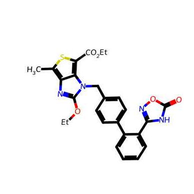 CCOC(=O)c1sc(C)c2nc(OCC)n(Cc3ccc(-c4ccccc4-c4noc(=O)[nH]4)cc3)c12